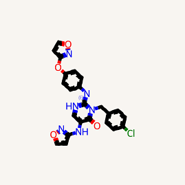 O=c1c(Nc2ccon2)c[nH]/c(=N\c2ccc(Oc3ccon3)cc2)n1Cc1ccc(Cl)cc1